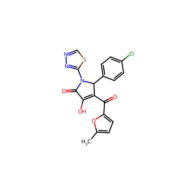 Cc1ccc(C(=O)C2=C(O)C(=O)N(c3nncs3)C2c2ccc(Cl)cc2)o1